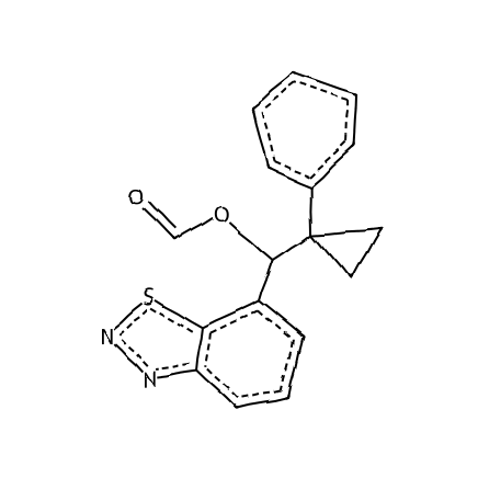 O=COC(c1cccc2nnsc12)C1(c2ccccc2)CC1